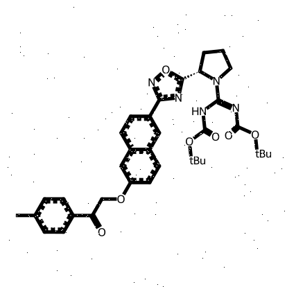 Cc1ccc(C(=O)COc2ccc3cc(-c4noc([C@@H]5CCCN5/C(=N/C(=O)OC(C)(C)C)NC(=O)OC(C)(C)C)n4)ccc3c2)cc1